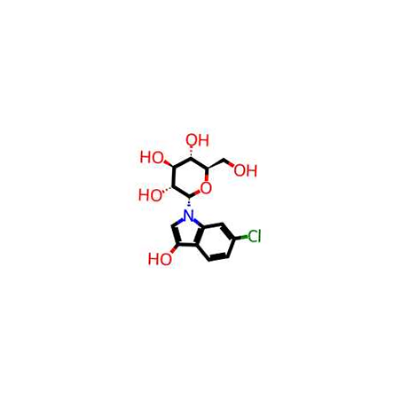 OC[C@H]1O[C@H](n2cc(O)c3ccc(Cl)cc32)[C@H](O)[C@@H](O)[C@@H]1O